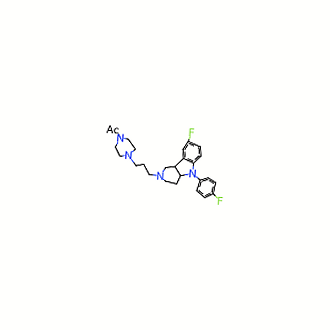 CC(=O)N1CCN(CCCN2CCC3C(C2)c2cc(F)ccc2N3c2ccc(F)cc2)CC1